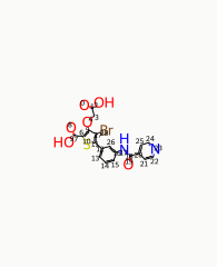 O=C(O)COc1c(C(=O)O)sc(-c2cccc(NC(=O)c3ccncc3)c2)c1Br